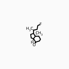 C[C@H](CCF)C1CC[C@H]2C(=O)CCC[C@]12C